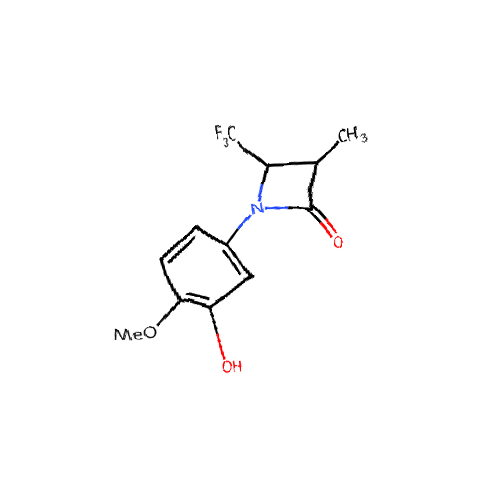 COc1ccc(N2C(=O)C(C)C2C(F)(F)F)cc1O